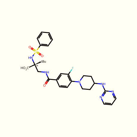 CC(C)(C)[C@](CNC(=O)c1ccc(N2CCC(Nc3ncccn3)CC2)c(F)c1)(NS(=O)(=O)c1ccccc1)C(=O)O